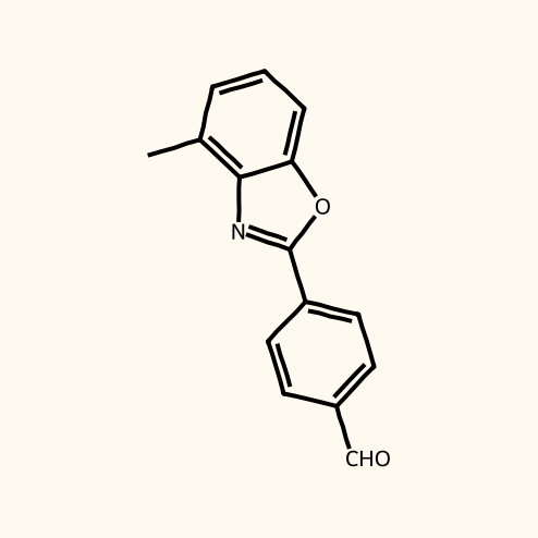 Cc1cccc2oc(-c3ccc(C=O)cc3)nc12